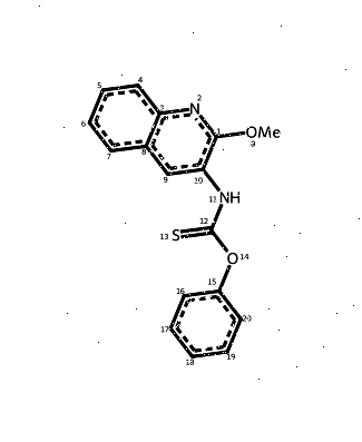 COc1nc2ccccc2cc1NC(=S)Oc1ccccc1